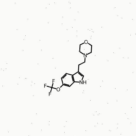 FC(F)(F)Oc1ccc2c(CCN3CCOCC3)c[nH]c2c1